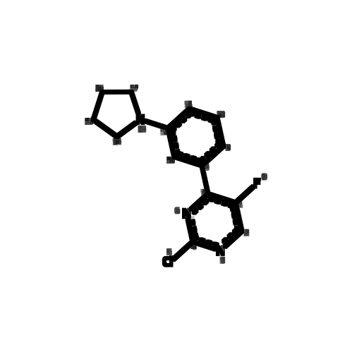 Fc1cnc(Cl)nc1-c1cccc(N2CCCC2)c1